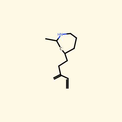 C=CC(=C)CCC1CCCNC(C)C1